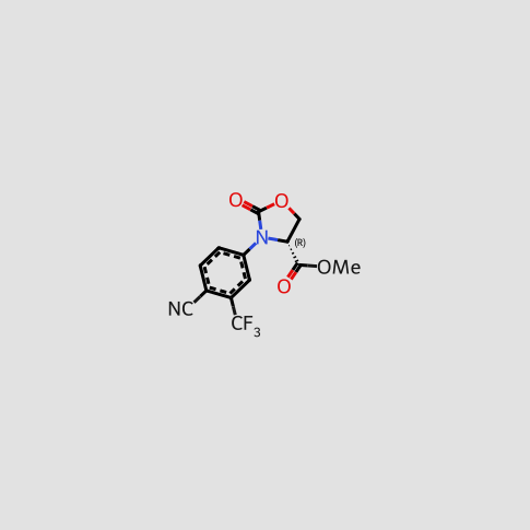 COC(=O)[C@H]1COC(=O)N1c1ccc(C#N)c(C(F)(F)F)c1